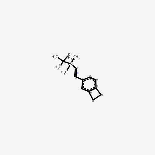 CC(C)(C)[Si](C)(C)/C=C/c1ccc2c(c1)CC2